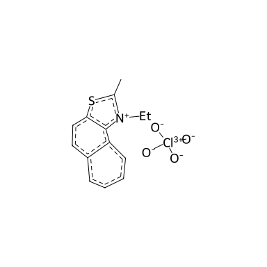 CC[n+]1c(C)sc2ccc3ccccc3c21.[O-][Cl+3]([O-])([O-])[O-]